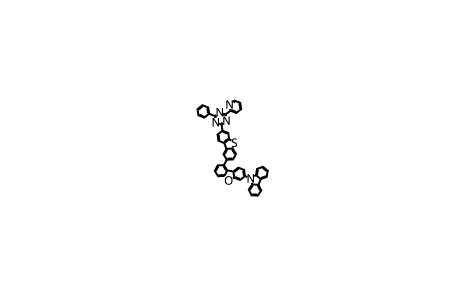 c1ccc(-c2nc(-c3ccc4c(c3)sc3ccc(-c5cccc6oc7cc(-n8c9ccccc9c9ccccc98)ccc7c56)cc34)nc(-c3ccccn3)n2)cc1